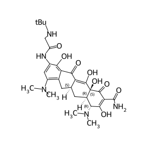 CN(C)c1cc(NC(=O)CNC(C)(C)C)c(O)c2c1C[C@@H]1C[C@@H]3[C@@H](N(C)C)C(O)=C(C(N)=O)C(=O)[C@@]3(O)C(O)=C1C2=O